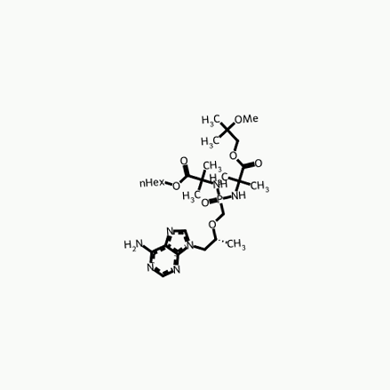 CCCCCCOC(=O)C(C)(C)NP(=O)(CO[C@H](C)Cn1cnc2c(N)ncnc21)NC(C)(C)C(=O)OCC(C)(C)OC